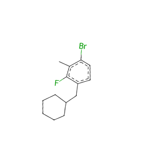 Cc1c(Br)ccc(CC2CCCCC2)c1F